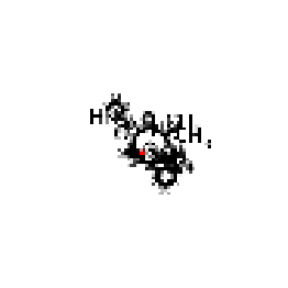 CC(C)C1NC(=O)[C@@H](NC(=O)[C@@H]2CCCN2)Cc2ccc3c(c2)C2(c4ccccc4NC2O3)c2oc1nc2C=O